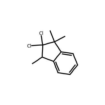 CC1c2ccccc2C(C)(C)C1(Cl)Cl